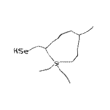 CC1CC([SeH])[Si](C)(C)C1